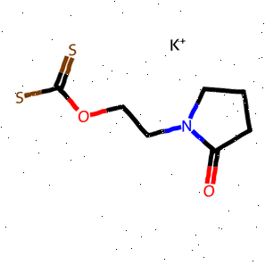 O=C1CCCN1CCOC(=S)[S-].[K+]